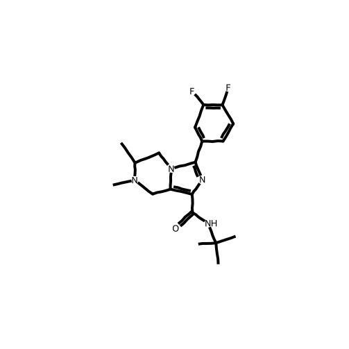 CC1Cn2c(-c3ccc(F)c(F)c3)nc(C(=O)NC(C)(C)C)c2CN1C